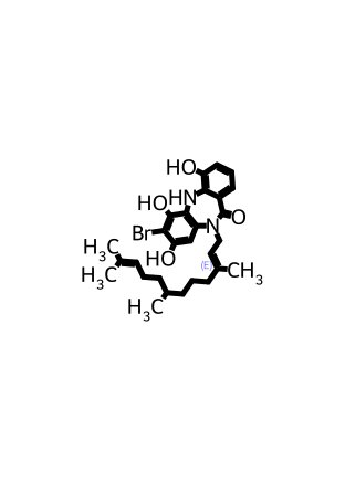 CC(C)=CCCC(C)CCC/C(C)=C/CN1C(=O)c2cccc(O)c2Nc2c1cc(O)c(Br)c2O